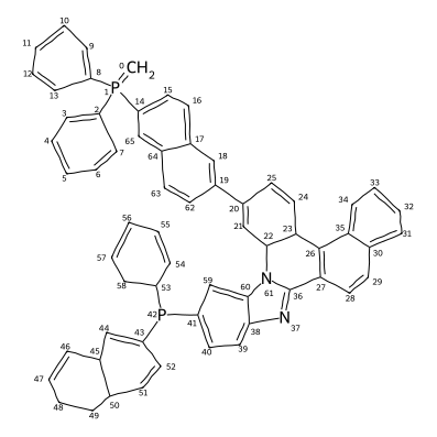 C=P(c1ccccc1)(c1ccccc1)c1ccc2cc(C3=CC4C(C=C3)c3c(ccc5ccccc35)-c3nc5ccc(P(C6=CC7C=CCCC7C=C6)C6C=CC=CC6)cc5n34)ccc2c1